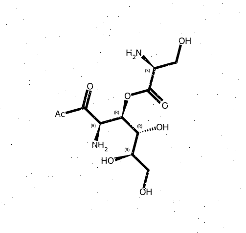 CC(=O)C(=O)[C@H](N)[C@@H](OC(=O)[C@@H](N)CO)[C@H](O)[C@H](O)CO